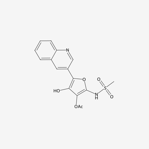 CC(=O)Oc1c(NS(C)(=O)=O)oc(-c2cnc3ccccc3c2)c1O